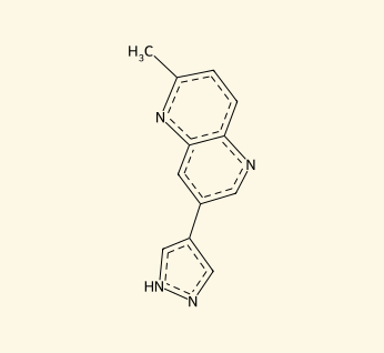 Cc1ccc2ncc(-c3cn[nH]c3)cc2n1